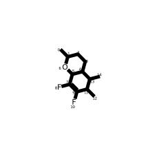 CC1CCC2C(O1)C(F)=C(F)C(C)C2C